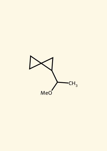 CO[C](C)C1CC12CC2